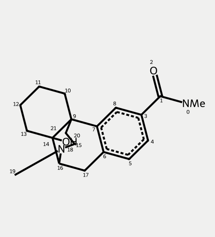 CNC(=O)c1ccc2c(c1)C13CCCCC1(O)C(C2)N(C)CC3